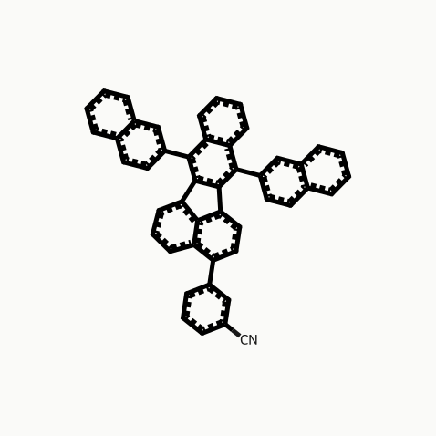 N#Cc1cccc(-c2ccc3c4c(cccc24)-c2c-3c(-c3ccc4ccccc4c3)c3ccccc3c2-c2ccc3ccccc3c2)c1